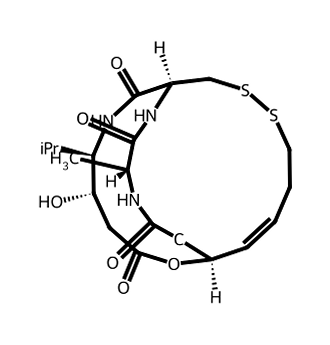 CC(C)[C@H]1NC(=O)[C@H]2CSSCC/C=C\[C@H](CC(=O)N[C@H](C)C(=O)N2)OC(=O)C[C@@H]1O